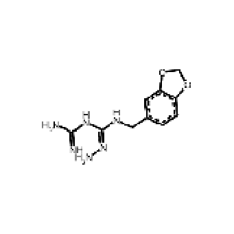 N=C(N)NC(=NN)NCc1ccc2c(c1)OCO2